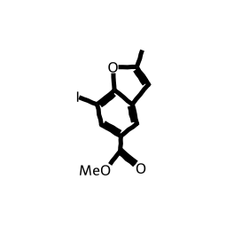 COC(=O)c1cc(I)c2oc(C)cc2c1